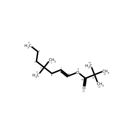 CCCC(C)(C)C/C=C/OC(=O)C(C)(C)C